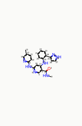 CNC(=O)c1cnc(Nc2ccc(C)cn2)cc1Nc1ccccc1-c1cc[nH]n1